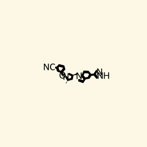 C[C@H]1C[C@H](Cn2ccc3cc(-c4cn[nH]c4)ccc32)CN1Oc1cccc(C#N)c1